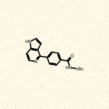 CCCCNC(=O)c1ccc(-c2nccc3[nH]ccc23)cc1